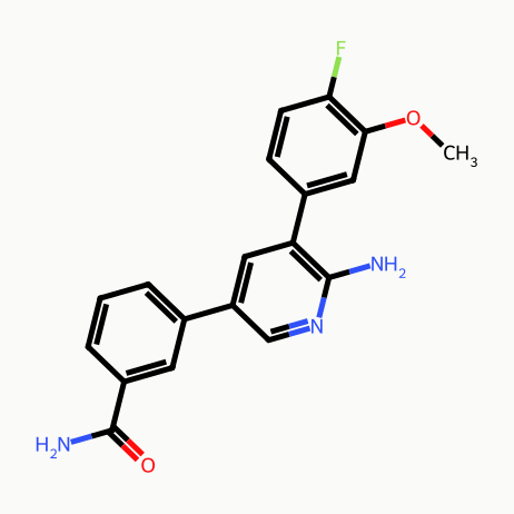 COc1cc(-c2cc(-c3cccc(C(N)=O)c3)cnc2N)ccc1F